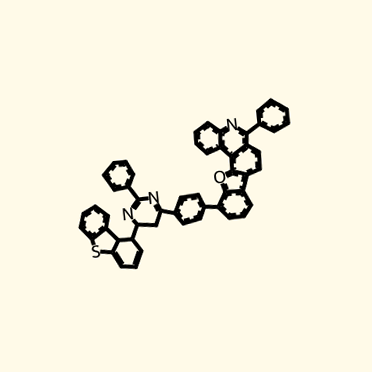 C1=CC(C2CC(c3ccc(-c4cccc5c4oc4c5ccc5c(-c6ccccc6)nc6ccccc6c54)cc3)=NC(c3ccccc3)=N2)C2C(=C1)Sc1ccccc12